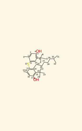 Cc1cc(O)c(C(C)(C)C)cc1Sc1c(C)cc(O)c(C(C)(C)C)c1CCCCCC(C)C